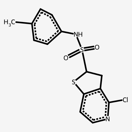 Cc1ccc(NS(=O)(=O)C2Cc3c(ccnc3Cl)S2)cc1